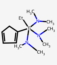 C[CH2][Ti]([C]1=CC=CC1)([N](C)C)([N](C)C)[N](C)C